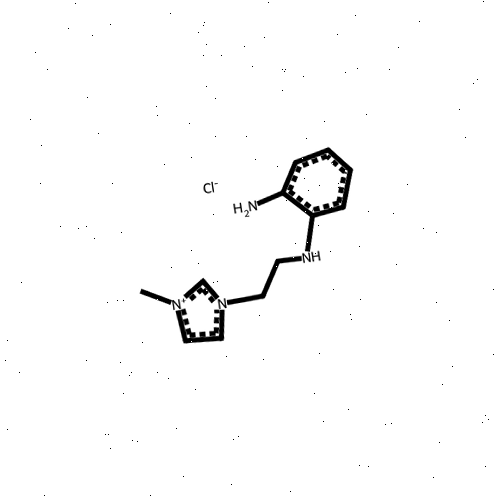 C[n+]1ccn(CCNc2ccccc2N)c1.[Cl-]